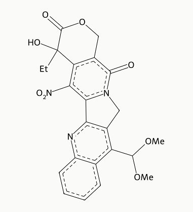 CCC1(O)C(=O)OCc2c1c([N+](=O)[O-])c1n(c2=O)Cc2c-1nc1ccccc1c2C(OC)OC